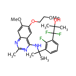 COCCOc1cc2c(NC(C)([SiH3])c3cccc(C(F)(F)C(C)(C)O)c3F)nc(C)nc2cc1OC